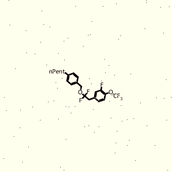 CCCCCc1ccc(COC(F)(F)Cc2ccc(OC(F)(F)F)c(F)c2)cc1